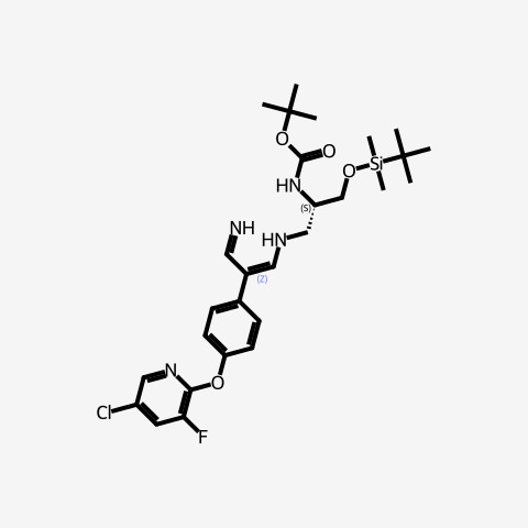 CC(C)(C)OC(=O)N[C@@H](CN/C=C(\C=N)c1ccc(Oc2ncc(Cl)cc2F)cc1)CO[Si](C)(C)C(C)(C)C